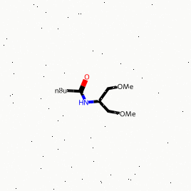 CCCCC(=O)NC(COC)COC